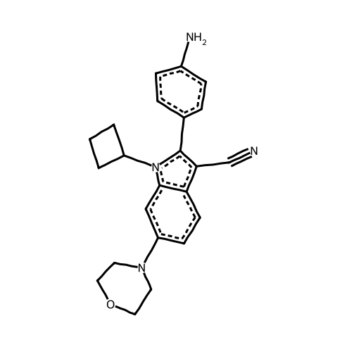 N#Cc1c(-c2ccc(N)cc2)n(C2CCC2)c2cc(N3CCOCC3)ccc12